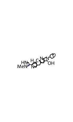 CN/C=C(\C=N)c1ccc(Cc2cc3c(nc2C)CN(C2CCOCC2)C3O)cn1